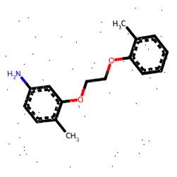 Cc1ccccc1OCCOc1cc(N)ccc1C